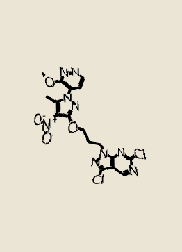 COc1nnccc1-n1nc(OCCCn2nc(Cl)c3cnc(Cl)nc32)c([N+](=O)[O-])c1C